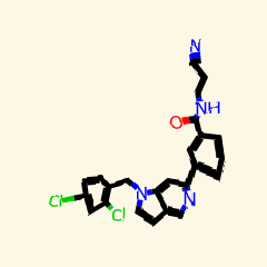 N#CCCNC(=O)c1cccc(-c2cc3c(ccn3Cc3ccc(Cl)cc3Cl)cn2)c1